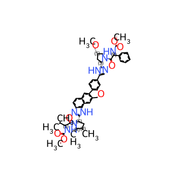 COC[C@H]1C[C@@H](c2ncc(-c3ccc4c(c3)OCc3cc5c(ccc6nc([C@@H]7C[C@@H](C)[C@@H](C)N7C(=O)[C@@H](NC(=O)OC)C(C)C)[nH]c65)cc3-4)[nH]2)N(C(=O)[C@H](NC(=O)OC)c2ccccc2)C1